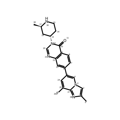 Cc1cn2cc(-c3ccc4c(=O)n([C@H]5CCN[C@H](C)C5)cnc4c3)cc(F)c2n1